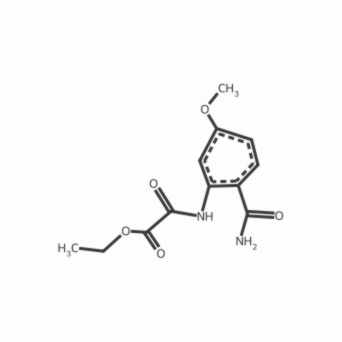 CCOC(=O)C(=O)Nc1cc(OC)ccc1C(N)=O